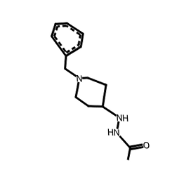 CC(=O)NNC1CCN(Cc2ccccc2)CC1